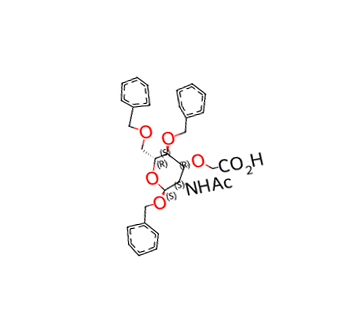 CC(=O)N[C@@H]1[C@@H](OCc2ccccc2)O[C@H](COCc2ccccc2)[C@@H](OCc2ccccc2)[C@@H]1OCC(=O)O